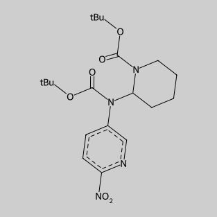 CC(C)(C)OC(=O)N1CCCCC1N(C(=O)OC(C)(C)C)c1ccc([N+](=O)[O-])nc1